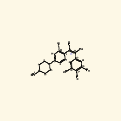 CCCC1CCC(c2ccc(/C(F)=C(/F)c3cc(F)c(F)c(F)c3)c(F)c2)CC1